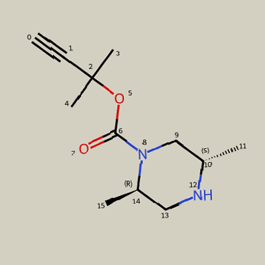 C#CC(C)(C)OC(=O)N1C[C@H](C)NC[C@H]1C